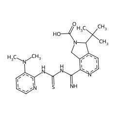 CN(C)c1cccnc1NC(=S)NC(=N)c1nccc2c1CN(C(=O)O)C2C(C)(C)C